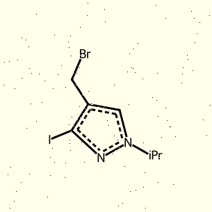 CC(C)n1cc(CBr)c(I)n1